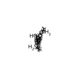 CC(C)C(C)(C)[SiH2]OC1CC[C@@]2(C)C(C1)C(O)C[C@@H]1[C@H]2CC[C@]2(C)C(O[SiH2]C(C)(C)C(C)C)CC[C@@H]12